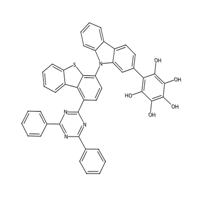 Oc1c(O)c(O)c(-c2ccc3c4ccccc4n(-c4ccc(-c5nc(-c6ccccc6)nc(-c6ccccc6)n5)c5c4sc4ccccc45)c3c2)c(O)c1O